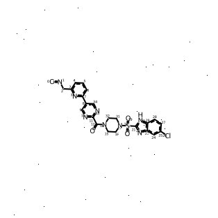 O=NCc1cccc(-c2cnc(C(=O)N3CCN(S(=O)(=O)c4nc5cc(Cl)ccc5[nH]4)CC3)nc2)n1